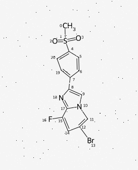 CS(=O)(=O)c1ccc(-c2cn3cc(Br)cc(F)c3n2)cc1